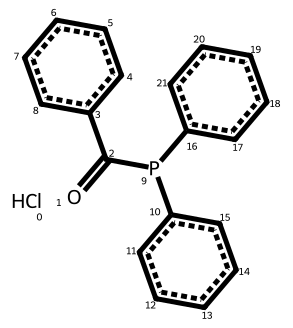 Cl.O=C(c1ccccc1)P(c1ccccc1)c1ccccc1